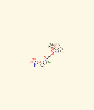 CC(C)[C@H](NC(=O)OCCCCC(=O)N1CCc2cccc(O[C@H]3CN[C@H](C(=O)O)C3)c2C1)C(=O)OC(C)(C)C.Cl